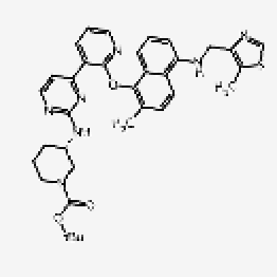 Cc1ccc2c(NCc3ncsc3C)cccc2c1Oc1ncccc1-c1ccnc(N[C@H]2CCCN(C(=O)OC(C)(C)C)C2)n1